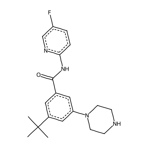 CC(C)(C)c1cc(C(=O)Nc2ccc(F)cn2)cc(N2CCNCC2)c1